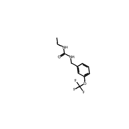 CCNC(=O)NCc1cccc(OC(F)(F)F)c1